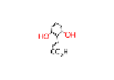 O=C(O)C=Cc1c(O)cccc1O